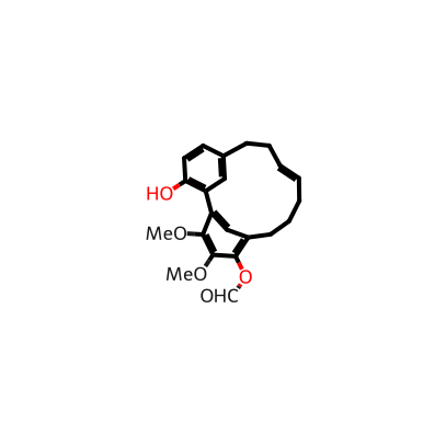 COc1c2cc(c(OC=O)c1OC)CCC/C=C/CCc1ccc(O)c-2c1